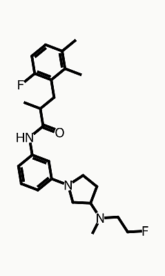 Cc1ccc(F)c(CC(C)C(=O)Nc2cccc(N3CCC(N(C)CCF)C3)c2)c1C